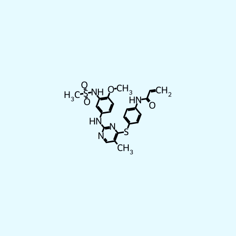 C=CC(=O)Nc1ccc(Sc2nc(Nc3ccc(OC)c(NS(C)(=O)=O)c3)ncc2C)cc1